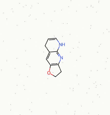 C1=CNc2nc3c(cc2C1)OCC3